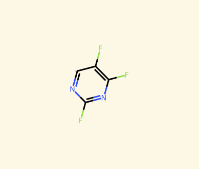 Fc1n[c]c(F)c(F)n1